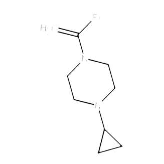 C=C(CC)N1CCN(C2CC2)CC1